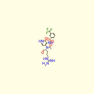 CC(=O)N(c1cc[nH]c(=O)c1NS(=O)(=O)c1cccc(C(F)(F)F)c1)[C@H](C=O)CCCNC(=N)N